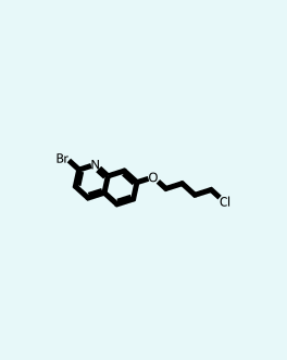 ClCCCCOc1ccc2ccc(Br)nc2c1